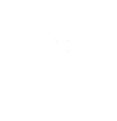 Cl.NC(C1=NCCN1)c1cccc(OC(F)C(F)(F)F)c1Cl